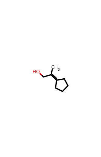 CC(CO)=C1CCCC1